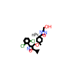 CCCC1(c2nc(CO)no2)CCC(C)(OCc2c(-c3c(Cl)cccc3Cl)noc2C2CC2)CC1